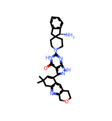 CC1(C)C=C(c2n[nH]c3nc(N4CCC5(CC4)Cc4ccccc4[C@H]5N)[nH]c(=O)c23)c2cc3c(nc2C1)COCC3